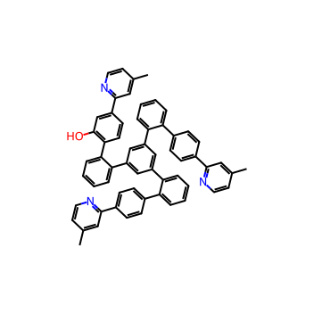 Cc1ccnc(-c2ccc(-c3ccccc3-c3cc(-c4ccccc4-c4ccc(-c5cc(C)ccn5)cc4)cc(-c4ccccc4-c4ccc(-c5cc(C)ccn5)cc4O)c3)cc2)c1